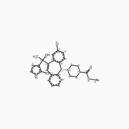 Cc1[nH]cnc1C(C)(O)C1=Cc2cccnc2[C@@H](N2CCN(C(=O)OC(C)(C)C)CC2)c2ccc(Cl)cc21